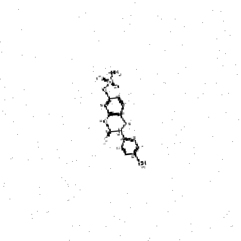 NS(=O)(=O)Oc1ccc2c(c1)OC(=O)N(c1ccc(O)cc1)C2